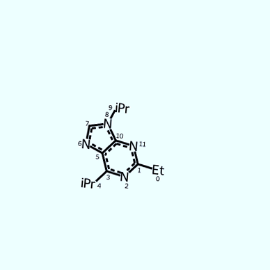 CCc1nc(C(C)C)c2ncn(C(C)C)c2n1